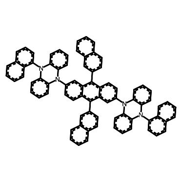 c1ccc2c(c1)N(c1ccc3c(-c4ccc5ccccc5c4)c4cc(N5c6ccccc6N(c6cccc7ccccc67)c6ccccc65)ccc4c(-c4ccc5ccccc5c4)c3c1)c1ccccc1N2c1cccc2ccccc12